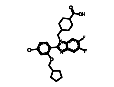 O=C(O)C1CCC(Cn2c(-c3ccc(Cl)cc3OCC3CCCC3)nc3cc(F)c(F)cc32)CC1